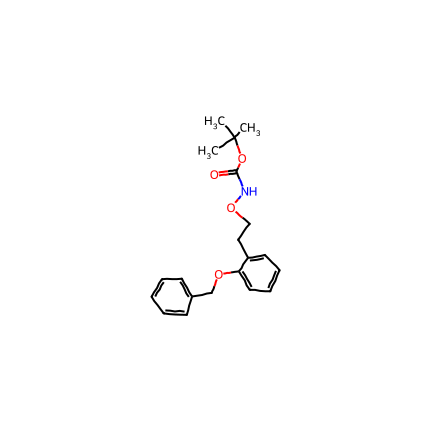 CC(C)(C)OC(=O)NOCCc1ccccc1OCc1ccccc1